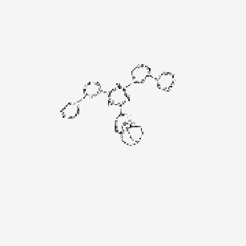 c1ccc(-c2cccc(-c3nc(-c4cccc(-c5ccccc5)c4)nc(-c4ccc5c(c4)C4CC6CC(CC5C6)C4)n3)c2)cc1